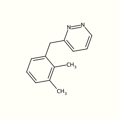 Cc1cccc(Cc2cccnn2)c1C